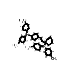 Cc1ccc(N(c2ccc(C)cc2)c2ccc(C=CC3(N(c4ccc(C)cc4)c4ccc(C)cc4)C=CC=CC3)cc2)cc1